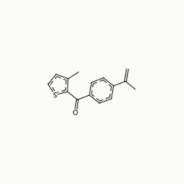 C=C(C)c1ccc(C(=O)c2sccc2C)cc1